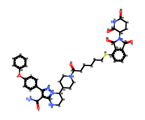 NC(=O)c1c(-c2ccc(Oc3ccccc3)cc2)nn2c1NCCC2C1CCN(C(=O)CCCCCSc2cccc3c2C(=O)N(C2CCC(=O)NC2=O)C3=O)CC1